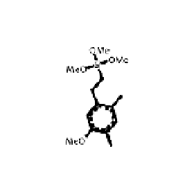 COc1cc(CC[Si](OC)(OC)OC)c(C)cc1C